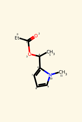 CCC(=O)OC(C)c1cccn1C